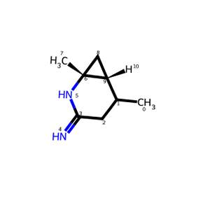 CC1CC(=N)N[C@]2(C)C[C@H]12